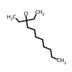 CCCCCCCCC(Cl)(CC)CC